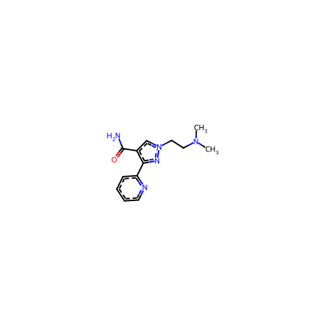 CN(C)CCn1cc(C(N)=O)c(-c2ccccn2)n1